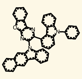 c1ccc(-n2c3ccccc3c3c(-c4nc5c(nc4-n4c6ccccc6c6cc7ccccc7cc64)oc4ccccc45)cccc32)cc1